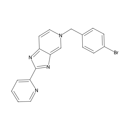 Brc1ccc(Cn2ccc3nc(-c4ccccn4)nc-3c2)cc1